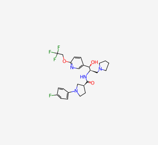 O=C(N[C@H](CN1CCCC1)[C@H](O)c1ccc(OCC(F)(F)F)nc1)[C@H]1CCN(c2ccc(F)cc2)C1